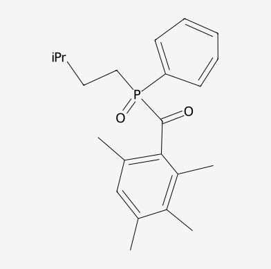 Cc1cc(C)c(C(=O)P(=O)(CCC(C)C)c2ccccc2)c(C)c1C